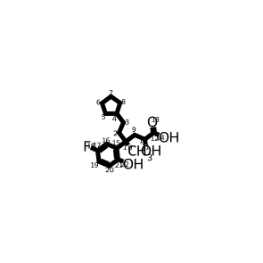 CC(CCC1CCCC1)(CC(O)C(=O)O)c1cc(F)ccc1O